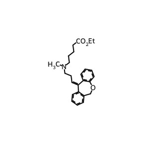 CCOC(=O)CCCCN(C)CCC=C1c2ccccc2COc2ccccc21